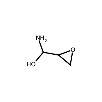 NC(O)C1CO1